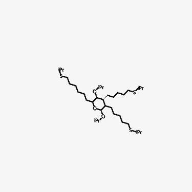 CC(C)O[C@H]1OC(CCCCCCSC(C)C)[C@@H](OC(C)C)[C@H](CCCCCSC(C)C)C1CCCCCSC(C)C